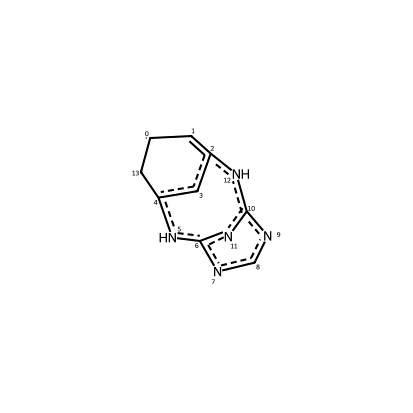 [CH]1C=c2cc([nH]c3ncnc(n3)[nH]2)C1